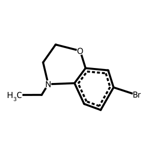 CCN1CCOc2cc(Br)ccc21